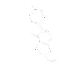 COc1ccc2c(=O)c(-c3ccc(C)cc3)coc2c1